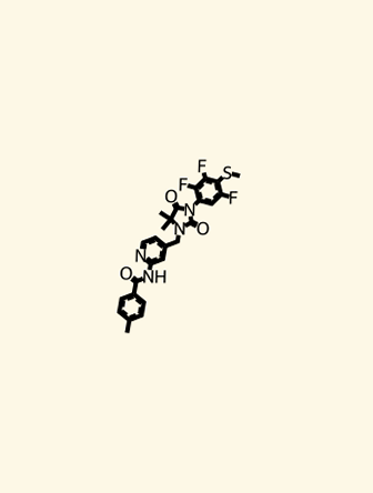 CSc1c(F)cc(N2C(=O)N(Cc3ccnc(NC(=O)c4ccc(C)cc4)c3)C(C)(C)C2=O)c(F)c1F